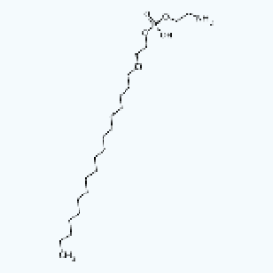 CCCCCCCCCCCCCCCCCCOCCOP(=O)(O)OCCN